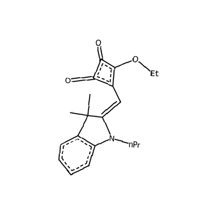 CCCN1/C(=C/c2c(OCC)c(=O)c2=O)C(C)(C)c2ccccc21